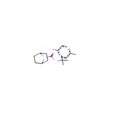 Cc1cnc(N[C@@H]2C[C@H]3CC[C@@H]2N3C(=O)OC(C)(C)C)cn1